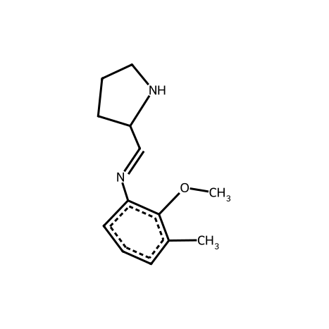 COc1c(C)cccc1N=CC1CCCN1